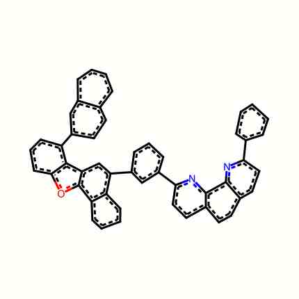 c1ccc(-c2ccc3ccc4ccc(-c5cccc(-c6cc7c(oc8cccc(-c9ccc%10ccccc%10c9)c87)c7ccccc67)c5)nc4c3n2)cc1